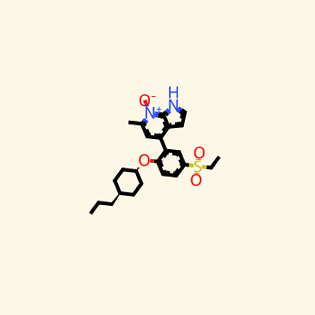 CCC[C@H]1CC[C@H](Oc2ccc(S(=O)(=O)CC)cc2-c2cc(C)[n+]([O-])c3[nH]ccc23)CC1